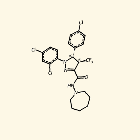 O=C(NN1CCCCCC1)C1=NN(c2ccc(Cl)cc2Cl)[C@H](c2ccc(Cl)cc2)[C@H]1C(F)(F)F